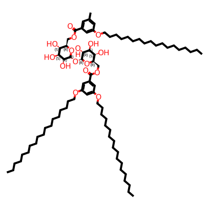 CCCCCCCCCCCCCCCCCCOc1cc(C)cc(C(=O)OC[C@H]2O[C@H](O[C@H]3O[C@H](COC(=O)c4cc(OCCCCCCCCCCCCCCCCCC)cc(OCCCCCCCCCCCCCCCCCC)c4)[C@@H](O)[C@H](O)[C@H]3O)[C@H](O)[C@@H](O)[C@@H]2O)c1